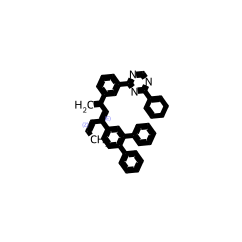 C=C(/C=C(\C=C/C)c1ccc(-c2ccccc2)c(-c2ccccc2)c1)c1cccc(-c2ncnc(C3=CCCC=C3)n2)c1